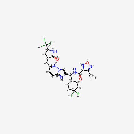 Cc1nonc1C(=O)NC(c1cn2nc(C[C@H]3C[C@@H](C(F)(F)F)NC3=O)ccc2n1)C1CCC(F)(F)CC1